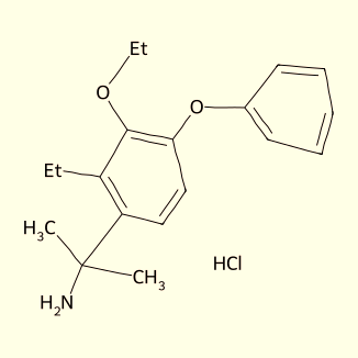 CCOc1c(Oc2ccccc2)ccc(C(C)(C)N)c1CC.Cl